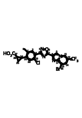 Cc1cc(-c2noc(-c3cn4cc(C(F)(F)F)cc(Br)c4n3)n2)c(Cl)cc1C1CC1C(=O)O